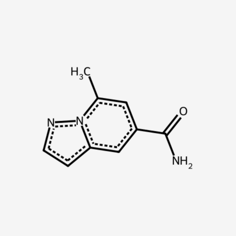 Cc1cc(C(N)=O)cc2ccnn12